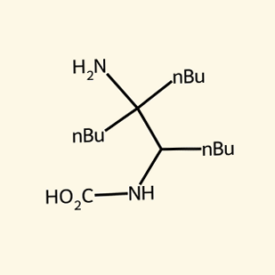 CCCCC(NC(=O)O)C(N)(CCCC)CCCC